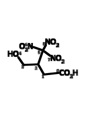 O=C(O)CC(CO)C([N+](=O)[O-])([N+](=O)[O-])[N+](=O)[O-]